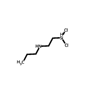 CCCNCC[SiH](Cl)Cl